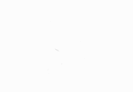 OC1CCCc2ccc(Cl)cc21